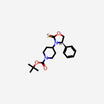 CC(C)(C)OC(=O)N1CCC(N2C(=S)OC[C@H]2c2ccccc2)CC1